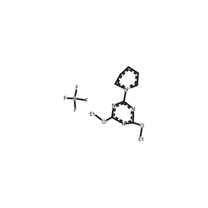 CCOc1nc(OCC)nc(-[n+]2ccccc2)n1.F[B-](F)(F)F